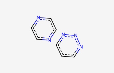 c1cnccn1.c1cnnnc1